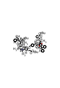 C/C(=C\[C@H](C(C)C)N(C)C(=O)[C@@H](NC(=O)[C@@H](N(C)C(=O)OC(C)(C)C)C(C)(C)c1cn(C)c2ccccc12)C(C)(C)C)C(=O)N[C@@H](CCC(=O)OC(C)(C)C)C(=O)OCc1ccc(NC(=O)[C@H](CC(=O)NC(c2ccccc2)(c2ccccc2)c2ccccc2)NC(=O)[C@H](C)NC(=O)[C@@H]2CCCN2C(=O)OC(C)(C)C)cc1